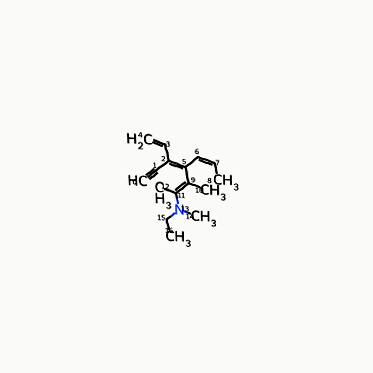 C#C/C(C=C)=C(/C=C\C)C(\C)=C(/C)N(C)CC